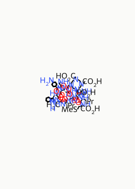 CSCC[C@H](NC(=O)[C@H](CC(C)C)NC(=O)[C@H](Cc1c[nH]cn1)NC(=O)CNC(=O)[C@@H](NC(=O)[C@H](C)NC(=O)[C@H](Cc1c[nH]c2ccccc12)NC(=O)[C@H]([C@@H](CC(N)=O)NC(=O)CN1CCN(CC(=O)O)CCN(CC(=O)O)CCN(CC(=O)O)CC1)N(C(=O)CN)C(=O)c1ccc(N)cc1)C(C)C)C(=O)O